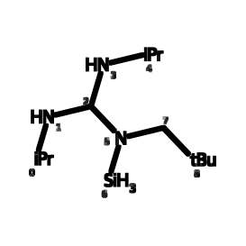 CC(C)NC(NC(C)C)N([SiH3])CC(C)(C)C